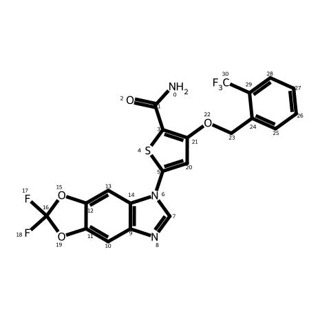 NC(=O)c1sc(-n2cnc3cc4c(cc32)OC(F)(F)O4)cc1OCc1ccccc1C(F)(F)F